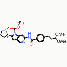 COC(CCc1ccc(C(=O)Nc2cc3c(cn2)cc([C@H]2CCCN2C)n3C(=O)OC(C)(C)C)cc1)OC